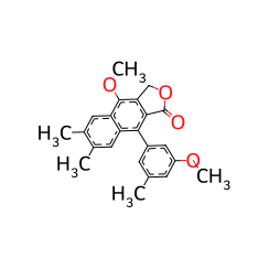 COc1cc(C)cc(-c2c3c(c(OC)c4cc(C)c(C)cc24)COC3=O)c1